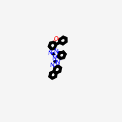 c1ccc2c(c1)ccc1c2nc2n1c1cccc3c1n2c1nc2ccc4oc5ccccc5c4c2n31